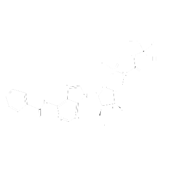 CO[C@@H]1[C@H](C)[C@@H](CN(C(=O)OC(C)(C)C)S(C)(=O)=O)O[C@H]1n1cnc2c(NC(=O)c3ccccc3)ncnc21